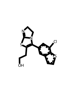 OCCC1=C(c2cc(Cl)c3sccc3c2)N2CCN=C2S1